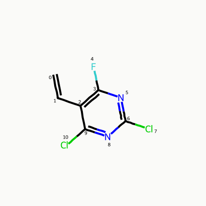 C=Cc1c(F)nc(Cl)nc1Cl